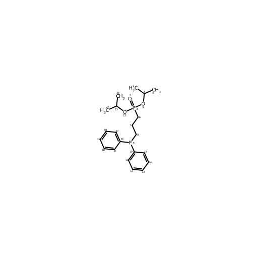 CC(C)OP(=O)(CCCP(c1ccccc1)c1ccccc1)OC(C)C